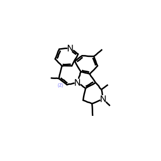 C/C(=C/n1c2c(c3cc(C)ccc31)C(C)N(C)C(C)C2)c1ccncc1